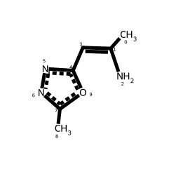 CC(N)=Cc1nnc(C)o1